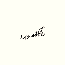 CO[C@H]1[C@H](C(C)(C)OCC=C(C)C)[C@]2(CC[C@H]1OC(=O)N1CC(CCN3CCN(CC(F)F)CC3)C1)CO2